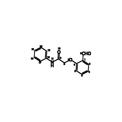 O=Cc1ccccc1OCC(=O)Nc1ccccc1